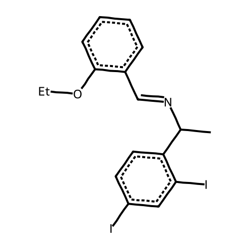 CCOc1ccccc1/C=N/C(C)c1ccc(I)cc1I